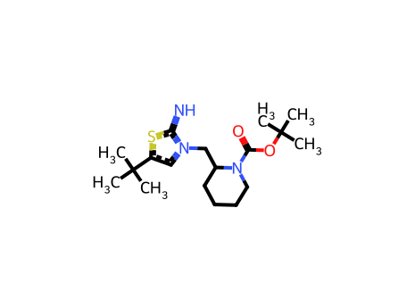 CC(C)(C)OC(=O)N1CCCCC1Cn1cc(C(C)(C)C)sc1=N